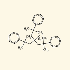 [CH2]C(CC(C)(C)c1ccccc1)(CC(C)(C)c1ccccc1)CC(C)(C)c1ccccc1